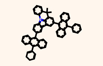 CC1(C)c2ccccc2-n2c3ccc(-c4c5ccccc5c(C5=CCCC=C5)c5ccccc45)cc3c3cc(-c4c5ccccc5c(-c5ccccc5)c5ccccc45)cc1c32